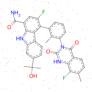 Cc1ccc2c(=O)n(-c3cccc(-c4c(F)cc(C(N)=O)c5[nH]c6cc(C(C)(C)O)ccc6c45)c3C)c(=O)[nH]c2c1F